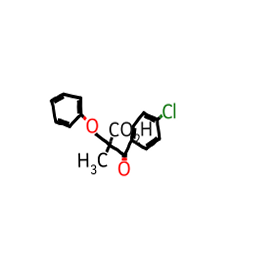 CC(COc1ccccc1)(C(=O)O)C(=O)c1ccc(Cl)cc1